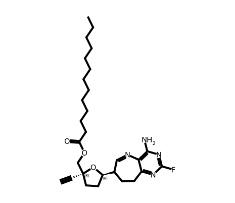 C#C[C@@]1(COC(=O)CCCCCCCCCCCC)CC[C@H](C2C=Nc3c(N)nc(F)nc3CC2)O1